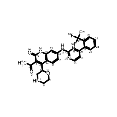 CC(=O)c1c(C2CNCCO2)c2ccc(Nc3nccc(-c4ccccc4C(F)(F)F)n3)cc2oc1=O